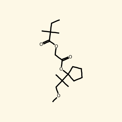 CCC(C)(C)C(=O)OCC(=O)OC1(C(C)(C)COC)CCCC1